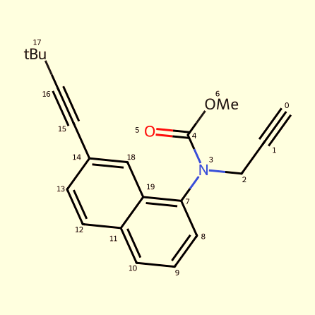 C#CCN(C(=O)OC)c1cccc2ccc(C#CC(C)(C)C)cc12